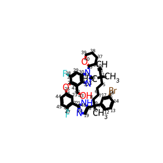 C#CC(C)(C)CCCCC(C)(c1cccc(Br)c1)c1cnc(-c2cc(Oc3c(F)cc4c(ncn4C4CCCCO4)c3CO)ccc2F)[nH]1